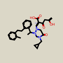 C=C(O)CC(=O)/C(=C\N1CC(=O)N(CC2CC2)CN1C(C)c1ccccc1CCc1ccccc1C)C(=O)O